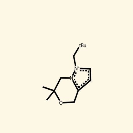 CC(C)(C)C[n+]1ccc2n1CC(C)(C)OC2